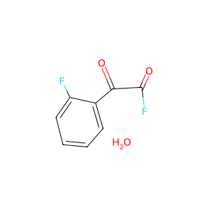 O.O=C(F)C(=O)c1ccccc1F